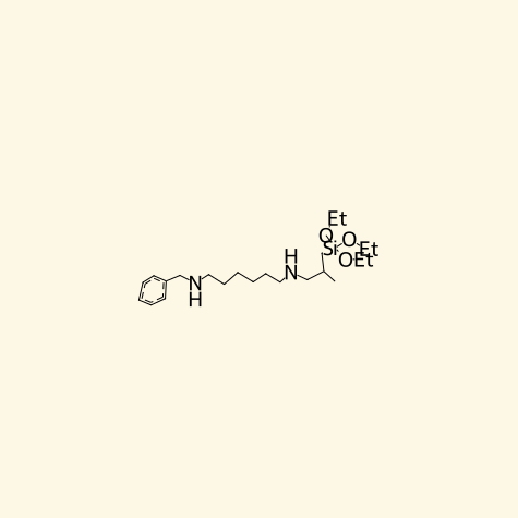 CCO[Si](CC(C)CNCCCCCCNCc1ccccc1)(OCC)OCC